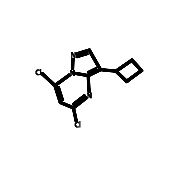 Clc1cc(Cl)n2ncc(C3CCC3)c2n1